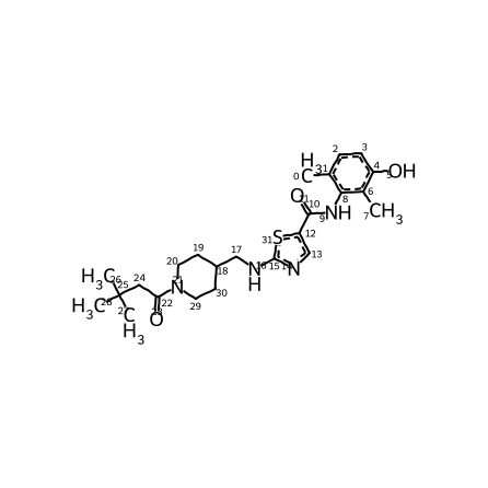 Cc1ccc(O)c(C)c1NC(=O)c1cnc(NCC2CCN(C(=O)CC(C)(C)C)CC2)s1